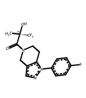 C[C@@](O)(C(=O)N1CCc2c(cnn2-c2ccc(F)cc2)C1)C(F)(F)F